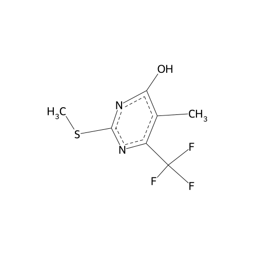 CSc1nc(O)c(C)c(C(F)(F)F)n1